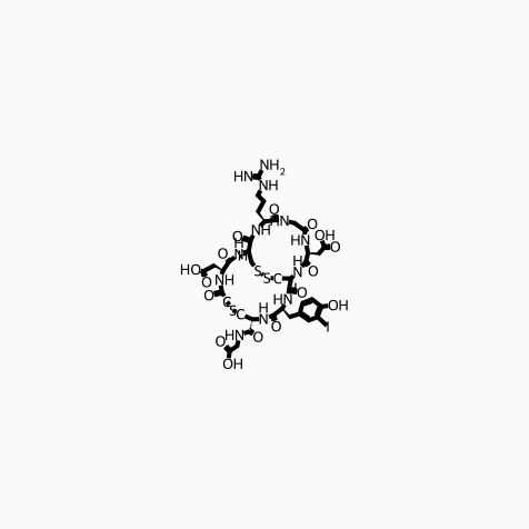 N=C(N)NCCC[C@@H]1NC(=O)[C@@H]2CSSC[C@H](NC(=O)[C@H](CC(=O)O)NC(=O)CNC1=O)C(=O)N[C@@H](Cc1ccc(O)c(I)c1)C(=O)N[C@H](C(=O)NCC(=O)O)CSCC(=O)N[C@@H](CC(=O)O)C(=O)N2